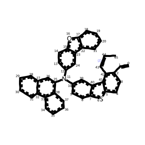 C=Cc1ccc2sc3ccc(N(c4ccc5oc6ccccc6c5c4)c4cc5ccccc5c5ccccc45)cc3c2c1/C=C\C